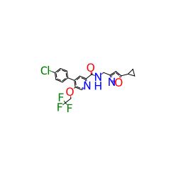 O=C(NCc1cc(C2CC2)on1)c1cc(-c2ccc(Cl)cc2)c(OCC(F)(F)F)cn1